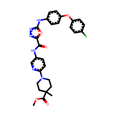 COC(=O)C1(C)CCN(c2ccc(NC(=O)c3nnc(Nc4ccc(Oc5ccc(F)cc5)cc4)o3)cn2)CC1